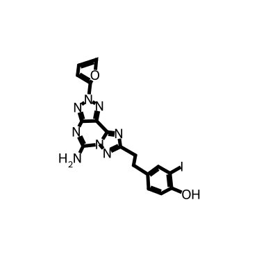 Nc1nc2nn(-c3ccco3)nc2c2nc(CCc3ccc(O)c(I)c3)nn12